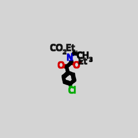 CCOC(=O)[C@H](C)N=C(OCC)C(=O)c1ccc(Cl)cc1